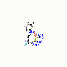 N=C(/C(F)=C\Nc1ccccc1)S(=N)(N)=O